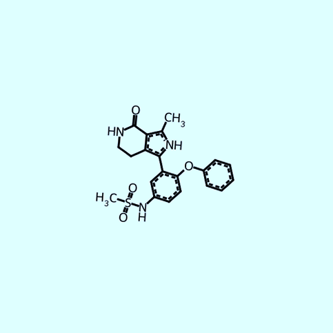 Cc1[nH]c(-c2cc(NS(C)(=O)=O)ccc2Oc2ccccc2)c2c1C(=O)NCC2